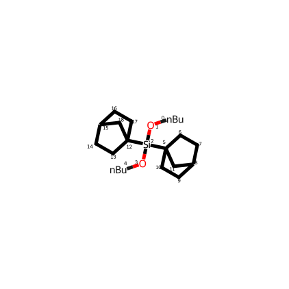 CCCCO[Si](OCCCC)(C12CCC(CC1)C2)C12CCC(CC1)C2